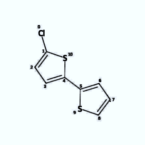 Clc1ccc(-c2c[c]cs2)s1